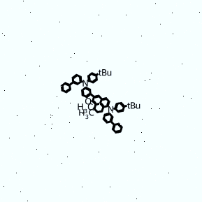 CC(C)(C)c1ccc(N(c2cccc(-c3ccccc3)c2)c2ccc3oc4c5c6c(c(N(c7ccc(C(C)(C)C)cc7)c7cccc(-c8ccccc8)c7)ccc6cc4c3c2)CCC5(C)C)cc1